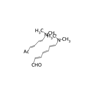 CC(=O)C=CC=CN(C)C.CN(C)C=CC=CC=CC=O